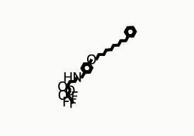 O=C(CCNCc1ccc(OCCCCCCCCCc2ccccc2)cc1)OC(=O)C(F)(F)F